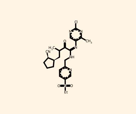 CCS(=O)(=O)c1ccc(CN/C(=N/c2cnc(Cl)nc2C)C(=O)C(C)C[C@H]2CCC[C@H]2C#N)nc1